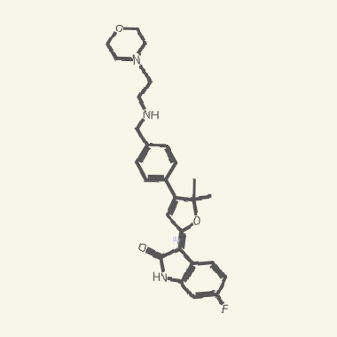 CC1(C)O/C(=C2/C(=O)Nc3cc(F)ccc32)C=C1c1ccc(CNCCN2CCOCC2)cc1